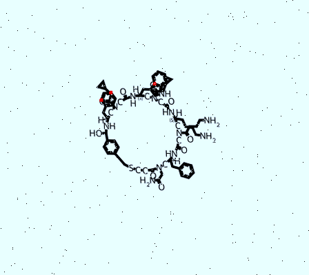 NCCCC[C@H]1CN(C(=O)CCCN)CC(=O)N[C@@H](Cc2ccccc2)CN(CC(N)=O)C(=O)CCSCc2ccc(cc2)C(O)N[C@@H](Cc2ccccc2)CN(C(=O)CC2CC2)CC(=O)N[C@@H](Cc2c[nH]c3ccccc23)CN(C(=O)CC2CC2)CC(=O)N1